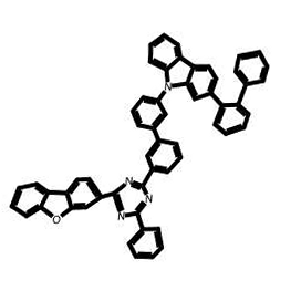 c1ccc(-c2nc(-c3cccc(-c4cccc(-n5c6ccccc6c6ccc(-c7ccccc7-c7ccccc7)cc65)c4)c3)nc(-c3ccc4c(c3)oc3ccccc34)n2)cc1